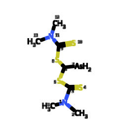 CN(C)C(=S)SC([AsH2])SC(=S)N(C)C